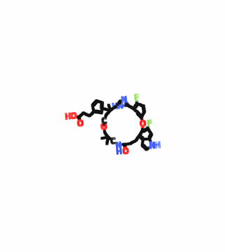 CC1(C)CNC(=O)CCc2c(c(F)cc3[nH]ccc23)Oc2ccc(F)c(c2)-c2ncc([nH]2)C(C)(c2cccc(CCC(=O)O)c2)CCOC1